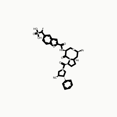 CC(C)[C@@H]1CC[C@H](NC(=O)c2cc3cc(C(F)P(=O)(O)O)ccc3s2)C(=O)N2[C@H](CC[C@H]2C(=O)N2C[C@H](c3ccccc3)[C@@H](C#N)C2)C1